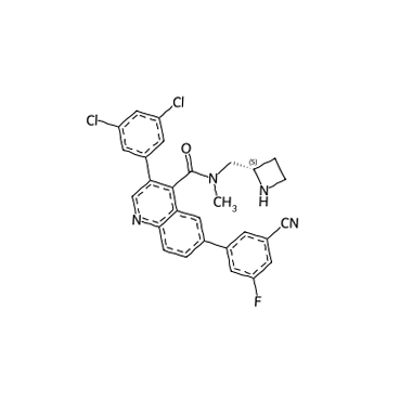 CN(C[C@@H]1CCN1)C(=O)c1c(-c2cc(Cl)cc(Cl)c2)cnc2ccc(-c3cc(F)cc(C#N)c3)cc12